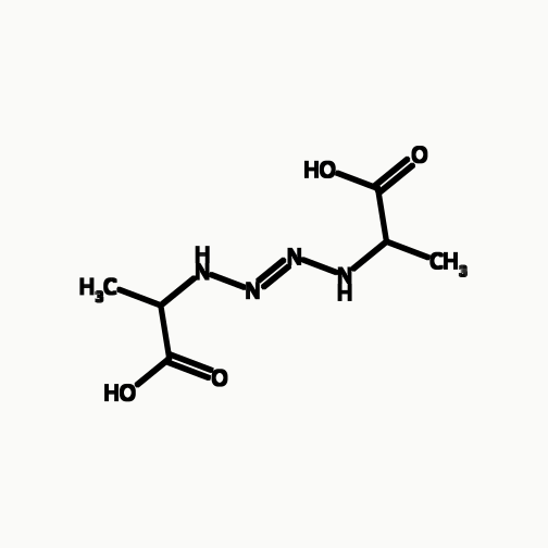 CC(NN=NNC(C)C(=O)O)C(=O)O